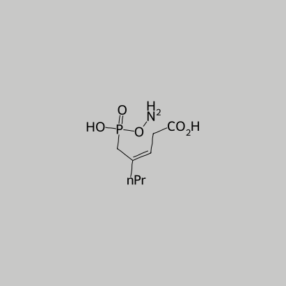 CCCC(=CCC(=O)O)CP(=O)(O)ON